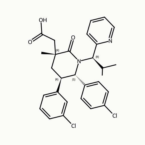 CC(C)[C@H](c1ccccn1)N1C(=O)[C@@](C)(CC(=O)O)C[C@H](c2cccc(Cl)c2)[C@H]1c1ccc(Cl)cc1